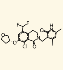 Cc1cc(C)c(CN2CCc3c(C(F)F)cc(O[C@@H]4CCOC4)c(Cl)c3C2=O)c(=O)[nH]1